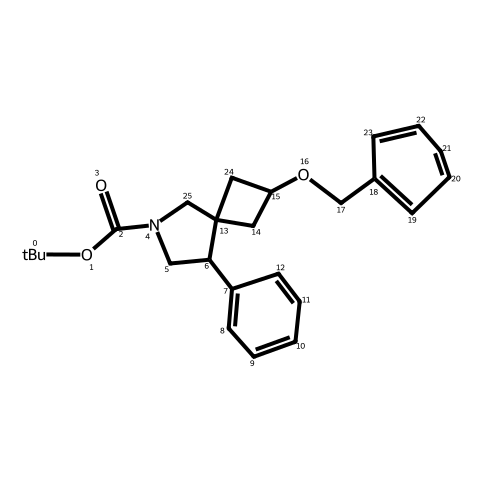 CC(C)(C)OC(=O)N1CC(c2ccccc2)C2(CC(OCc3ccccc3)C2)C1